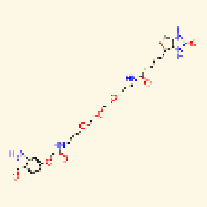 Nc1cc(OCC(=O)NCCCOCCOCCOCCCNC(=O)CCCCC2SCC3NC(=O)NC32)ccc1C=O